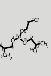 CC(Cl)COP(OCCCl)OCC(C)Cl